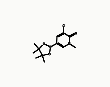 Cn1cc(B2OC(C)(C)C(C)(C)O2)cc(Cl)c1=O